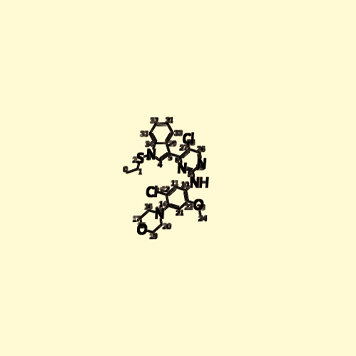 CCSn1cc(-c2nc(Nc3cc(Cl)c(N4CCOCC4)cc3OC)ncc2Cl)c2ccccc21